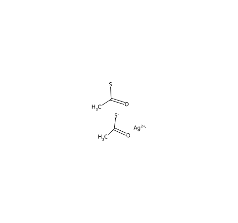 CC(=O)[S-].CC(=O)[S-].[Ag+2]